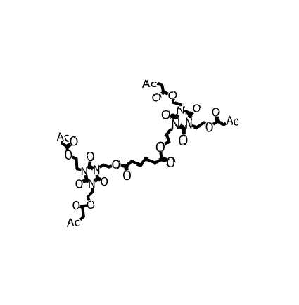 CC(=O)CC(=O)OCCn1c(=O)n(CCOC(=O)CCCCC(=O)OCCn2c(=O)n(CCOC(=O)CC(C)=O)c(=O)n(CCOC(=O)CC(C)=O)c2=O)c(=O)n(CCOC(=O)CC(C)=O)c1=O